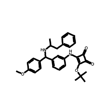 COc1ccc(C(NC(C)Cc2ccccc2)c2cccc(Nc3c(OC(C)(C)C)c(=O)c3=O)c2)cc1